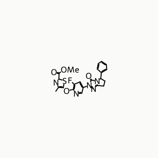 COC(=O)c1nc(C)c(Oc2ncc(-n3nc4n(c3=O)C(c3ccccc3)CC4)cc2F)s1